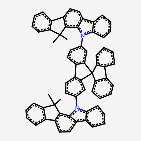 CC1(C)c2ccccc2-c2ccc3c4ccccc4n(-c4ccc5c(c4)C4(c6ccccc6-c6ccccc64)c4cc(-n6c7ccccc7c7ccc8c(c76)C(C)(C)c6ccccc6-8)ccc4-5)c3c21